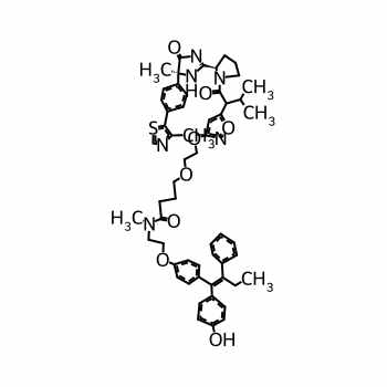 CC/C(=C(\c1ccc(O)cc1)c1ccc(OCCN(C)C(=O)CCCOCCOc2cc(C(C(=O)N3CCC[C@@H]3C3=NC(=O)[C@](C)(c4ccc(-c5scnc5C)cc4)N3)C(C)C)on2)cc1)c1ccccc1